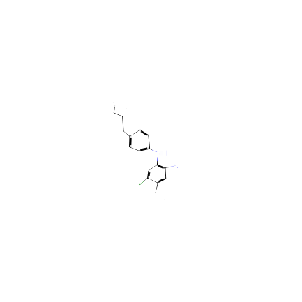 Nc1cc(C(F)(F)F)c(Cl)cc1Nc1ccc(CCCC(=O)O)cc1